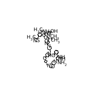 Cc1ncsc1-c1ccc([C@H](C)NC(=O)[C@@H]2C[C@@H](O)CN2C(=O)[C@@H](c2cc(N3CCC(CN4CCC(O[C@H]5C[C@H](CN6CCOC7(CCN(C8=C(N)NNC(c9ccccc9O)=C8)CC7)C6)C5)CC4)CC3)no2)C(C)C)cc1